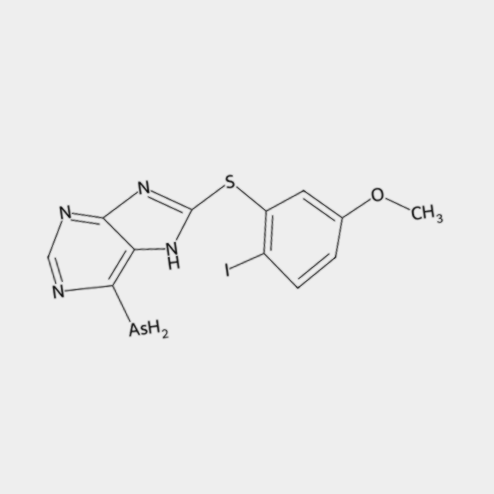 COc1ccc(I)c(Sc2nc3ncnc([AsH2])c3[nH]2)c1